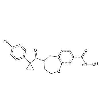 O=C(NO)c1ccc2c(c1)OCCN(C(=O)C1(c3ccc(Cl)cc3)CC1)C2